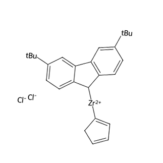 CC(C)(C)c1ccc2c(c1)-c1cc(C(C)(C)C)ccc1[CH]2[Zr+2][C]1=CC=CC1.[Cl-].[Cl-]